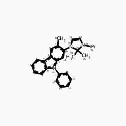 Cc1cc2c3ccccc3n(-c3ccccc3)c2cc1N1C=CN(C(C)C)C1(C)C